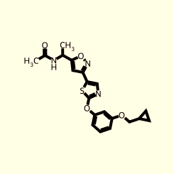 CC(=O)NC(C)c1cc(-c2cnc(Oc3cccc(OCC4CC4)c3)s2)no1